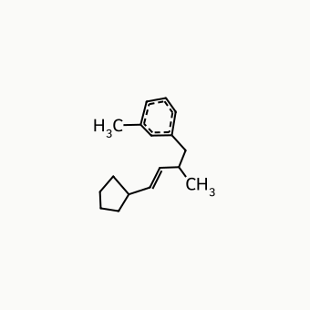 Cc1cccc(CC(C)/C=C/C2CCCC2)c1